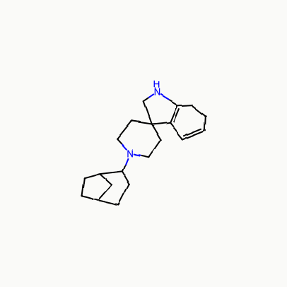 C1=CC2=C(CC1)NCC21CCN(C2CCC3CCC2C3)CC1